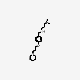 CN(C)CCCNCc1ccc(OCCCN2CCCCC2)cc1